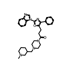 CN1CCCC(CN2CCN(C(=O)CCc3oc(-n4cnc5ccccc54)nc3-c3ccccc3)CC2)C1